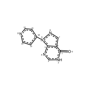 O=c1[nH]cnc2c1cnn2-c1ccncc1